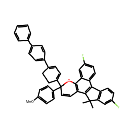 COc1ccc(C2(C3=CC=C(c4ccc(-c5ccccc5)cc4)CC3)C=Cc3c4c(c5ccc(F)cc5c3O2)-c2ccc(F)cc2C4(C)C)cc1